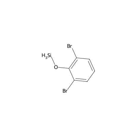 [SiH3]Oc1c(Br)cccc1Br